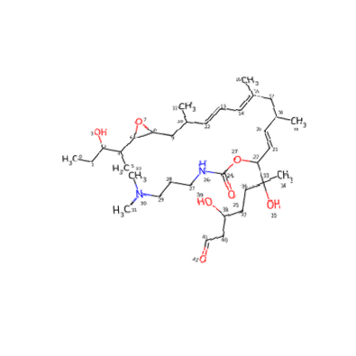 CCC(O)C(C)C1OC1CC(C)/C=C/C=C(\C)CC(C)/C=C/C(OC(=O)NCCCN(C)C)C(C)(O)CCC(O)CC=O